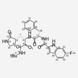 CC(C)(C)NC(=O)C(=O)[C@H](C[C@@H]1CCNC1=O)NC(=O)[C@H](Cc1ccccc1)NC(=O)c1cc2ccc(F)cc2[nH]1